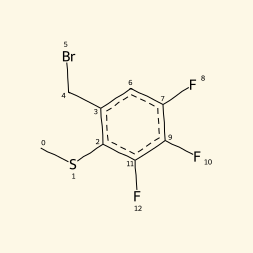 CSc1c(CBr)cc(F)c(F)c1F